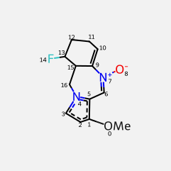 COc1ccn2c1C=[N+]([O-])C1=CCCC(F)C1C2